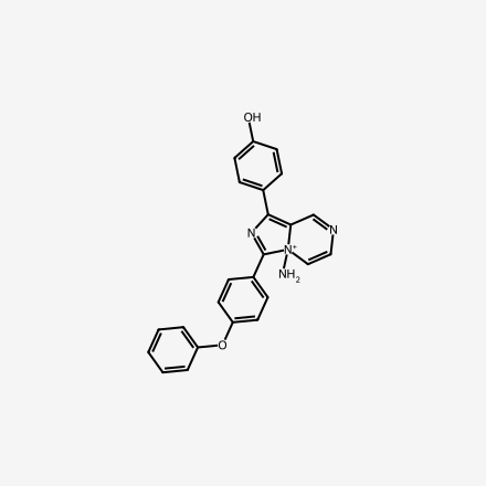 N[N+]12C=CN=CC1=C(c1ccc(O)cc1)N=C2c1ccc(Oc2ccccc2)cc1